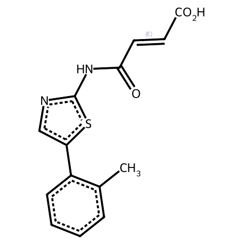 Cc1ccccc1-c1cnc(NC(=O)/C=C/C(=O)O)s1